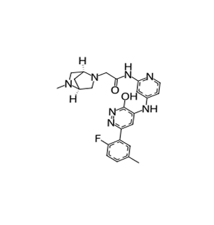 Cc1ccc(F)c(-c2cc(Nc3ccnc(NC(=O)CN4C[C@@H]5C[C@H]4CN5C)c3)c(O)nn2)c1